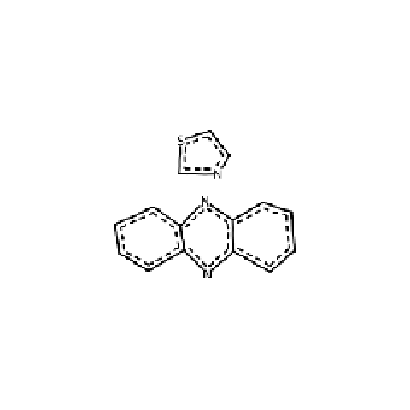 c1ccc2nc3ccccc3nc2c1.c1cscn1